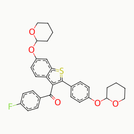 O=C(c1ccc(F)cc1)c1c(-c2ccc(OC3CCCCO3)cc2)sc2cc(OC3CCCCO3)ccc12